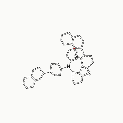 c1ccc(N(c2ccc(-c3ccc4ccccc4c3)cc2)c2cccc3sc4ccc5c6ccc7ccccc7c6sc5c4c23)cc1